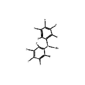 CC(C)(C)P(c1c(F)c(F)c(F)c(F)c1F)c1c(F)c(F)c(F)c(F)c1F